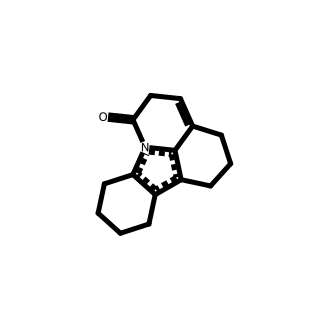 O=C1CC=C2CCCc3c4c(n1c32)CCCC4